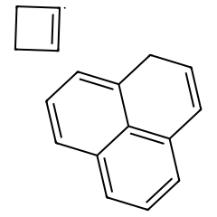 C1=Cc2cccc3cccc(c23)C1.[C]1=CCC1